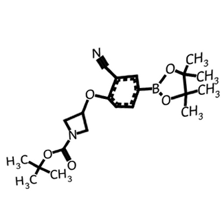 CC(C)(C)OC(=O)N1CC(Oc2ccc(B3OC(C)(C)C(C)(C)O3)cc2C#N)C1